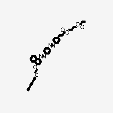 C#CC#CC#COCCOc1ccc(N=Nc2ccc(N=Nc3ccc(C=CC(=O)OCCCCOC(=O)C=C)cc3)cc2)c2ccccc12